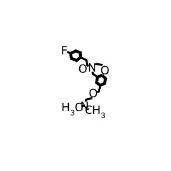 CN(C)CCOCc1ccc2c(c1)CN(C(=O)Cc1ccc(F)cc1)CCO2